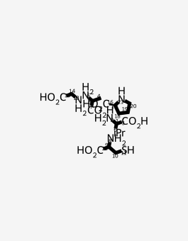 CC(C)C(N)C(=O)O.CC(N)C(=O)O.NC(CS)C(=O)O.NCC(=O)O.O=C(O)[C@@H]1CCCN1